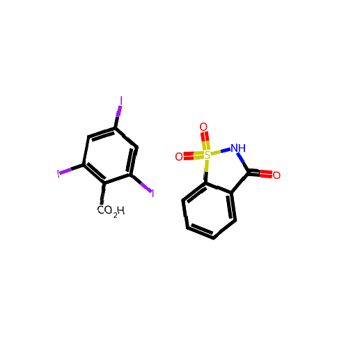 O=C(O)c1c(I)cc(I)cc1I.O=C1NS(=O)(=O)c2ccccc21